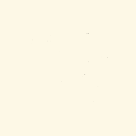 CCCCC/C(C(=O)OCCCC)=C(\CCCC)C(=O)OCCCC